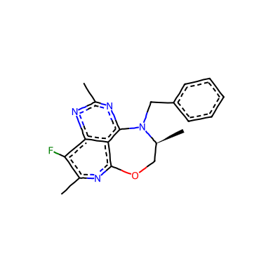 Cc1nc2c3c(nc(C)c(F)c3n1)OC[C@H](C)N2Cc1ccccc1